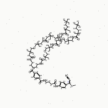 CS/C(=C/C#N)c1ccc(NC(=O)CCCNC(=O)c2ccc(C(=O)N(CCNC(=O)CC(C)(C)COCC(C)(C)CNC(=O)CC(C)(C)OCC(C)(C)CNC(=O)C(C)(C)CCC(C)(C)C)CCNC(=O)CC(C)(C)COCC(C)(C)CNC(=O)CC(C)(C)OCC(C)(C)CNC(=O)C(C)(C)CCC(C)(C)C)cc2)cc1